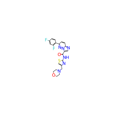 O=C(Nc1nc(CN2CCOCC2)cs1)c1cnc2ccc(-c3ccc(F)cc3F)nn12